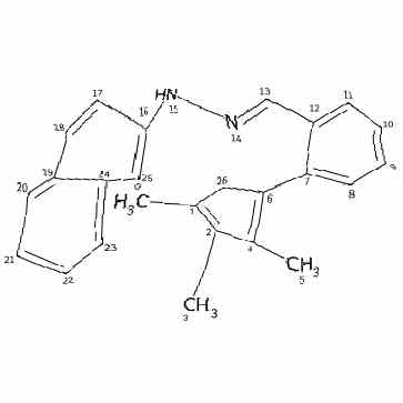 CC1=C(C)C(C)=C(c2ccccc2/C=N/Nc2ccc3ccccc3c2)C1